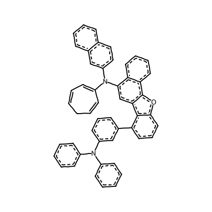 C1=CCC=CC(N(c2ccc3ccccc3c2)c2cc3c(oc4cccc(-c5cccc(N(c6ccccc6)c6ccccc6)c5)c43)c3ccccc23)=C1